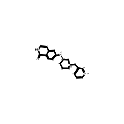 O=c1[nH]ccc2cc(N[C@@H]3CCCN(Cc4cccnc4)C3)ccc12